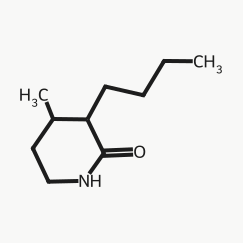 CCCCC1C(=O)NCCC1C